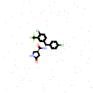 O=C1C[C@H](C(=O)N[C@@H](c2ccc(Cl)cc2)c2ccc(Cl)c(C(F)(F)F)c2)CN1